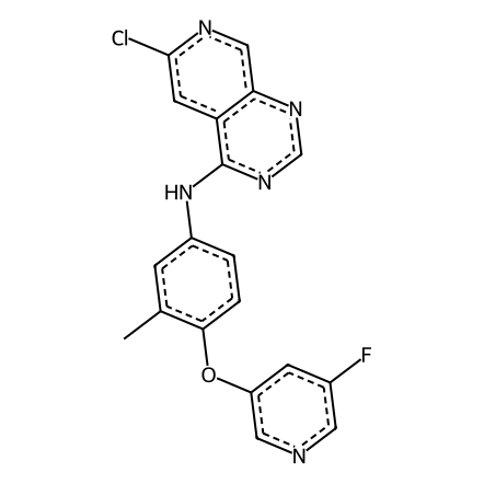 Cc1cc(Nc2ncnc3cnc(Cl)cc23)ccc1Oc1cncc(F)c1